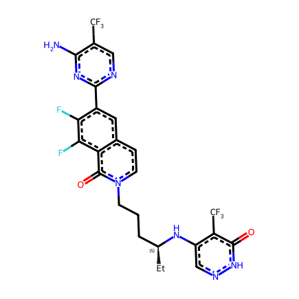 CC[C@@H](CCCn1ccc2cc(-c3ncc(C(F)(F)F)c(N)n3)c(F)c(F)c2c1=O)Nc1cn[nH]c(=O)c1C(F)(F)F